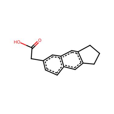 O=C(O)Cc1ccc2cc3c(cc2c1)CCC3